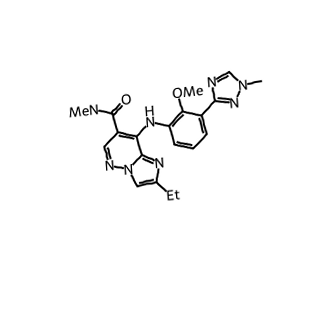 CCc1cn2ncc(C(=O)NC)c(Nc3cccc(-c4ncn(C)n4)c3OC)c2n1